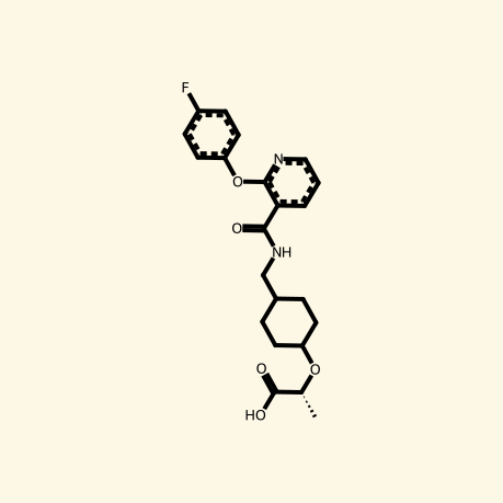 C[C@@H](OC1CCC(CNC(=O)c2cccnc2Oc2ccc(F)cc2)CC1)C(=O)O